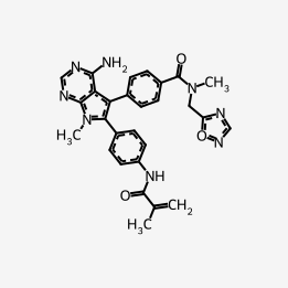 C=C(C)C(=O)Nc1ccc(-c2c(-c3ccc(C(=O)N(C)Cc4ncno4)cc3)c3c(N)ncnc3n2C)cc1